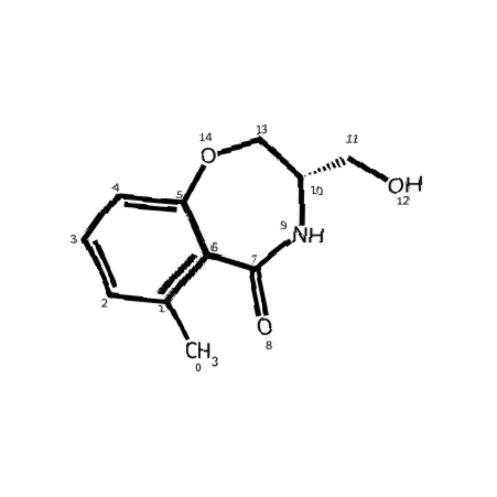 Cc1cccc2c1C(=O)N[C@@H](CO)CO2